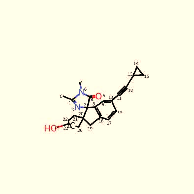 CC1=NC2(C(=O)N1C)c1cc(C#CC3CC3)ccc1CC21CCC(O)CC1